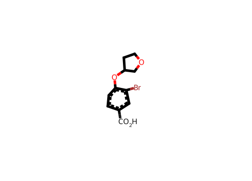 O=C(O)c1ccc(OC2CCOC2)c(Br)c1